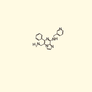 NCc1c(-c2ccccc2)nc(NCc2cccnc2)c2nccn12